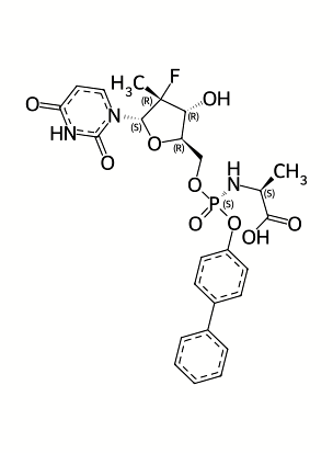 C[C@H](N[P@](=O)(OC[C@H]1O[C@H](n2ccc(=O)[nH]c2=O)[C@](C)(F)[C@@H]1O)Oc1ccc(-c2ccccc2)cc1)C(=O)O